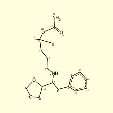 CC(C)(CCCNC(Cc1ccccc1)C1COCO1)OC(N)=O